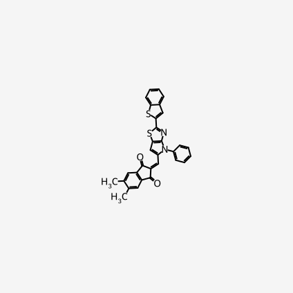 Cc1cc2c(cc1C)C(=O)C(=Cc1cc3sc(-c4cc5ccccc5s4)nc3n1-c1ccccc1)C2=O